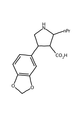 CCCC1NCC(c2ccc3c(c2)OCO3)C1C(=O)O